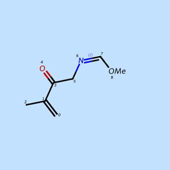 C=C(C)C(=O)C/N=C\OC